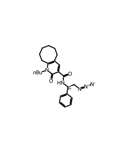 CCCCn1c2c(cc(C(=O)N[C@@H](CN=[N+]=[N-])c3ccccc3)c1=O)CCCCCC2